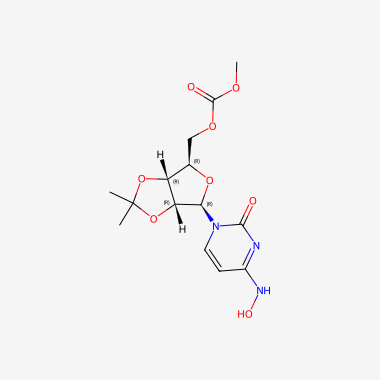 COC(=O)OC[C@H]1O[C@@H](n2ccc(NO)nc2=O)[C@@H]2OC(C)(C)O[C@@H]21